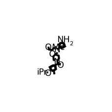 COCC1CN(c2cccc(N)c2)CC2(CCN(C(=O)c3ccc(OC(C)C)c(C)c3)CC2)O1